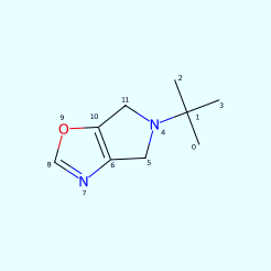 CC(C)(C)N1Cc2ncoc2C1